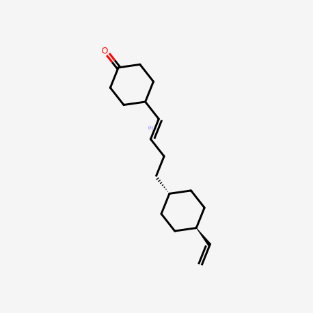 C=C[C@H]1CC[C@H](CC/C=C/C2CCC(=O)CC2)CC1